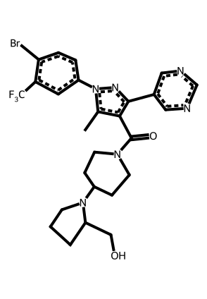 Cc1c(C(=O)N2CCC(N3CCCC3CO)CC2)c(-c2cncnc2)nn1-c1ccc(Br)c(C(F)(F)F)c1